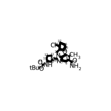 Cn1c(C(N)=O)cc2nc(N3CCC[C@@H](NC(=O)OC(C)(C)C)C3)n(Cc3ccccc3Cl)c2c1=O